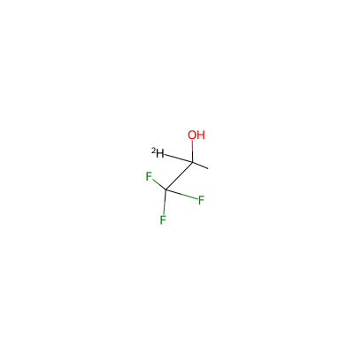 [2H]C(C)(O)C(F)(F)F